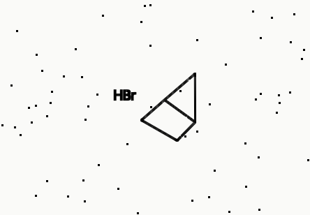 Br.C1CC2CC12